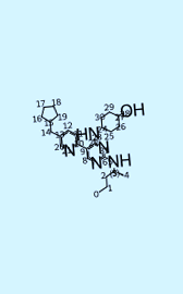 CCC[C@H](C)Nc1ncc(-c2ccc(CC3CCCC3)cn2)c(N[C@H]2CC[C@H](O)CC2)n1